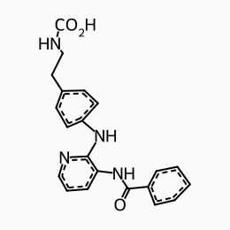 O=C(O)NCCc1ccc(Nc2ncccc2NC(=O)c2ccccc2)cc1